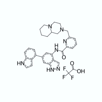 O=C(Nc1cc(-c2cccc3[nH]ccc23)cc2[nH]ncc12)c1cccc(CN2CCN3CCCCC3C2)n1.O=C(O)C(F)(F)F